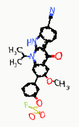 COc1cc2c(=O)c3c4ccc(C#N)cc4[nH]c3n(C(C)C)c2cc1-c1cccc(OS(=O)(=O)F)c1